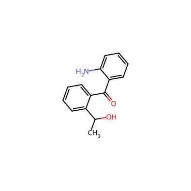 CC(O)c1ccccc1C(=O)c1ccccc1N